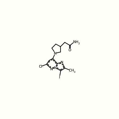 Cc1nc2c(N3CCC(CC(N)=O)C3)cc(Cl)nn2c1I